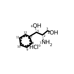 Cl.N[C@@H](CO)[C@@H](O)c1ccccc1